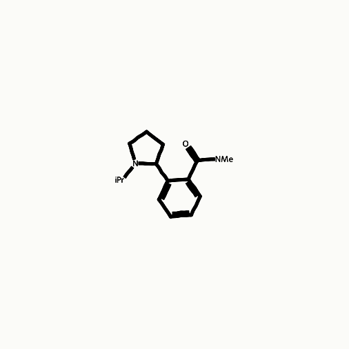 CNC(=O)c1ccccc1C1CCCN1C(C)C